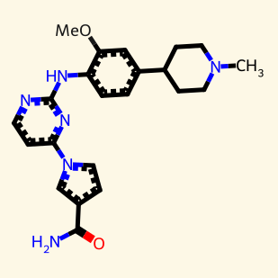 COc1cc(C2CCN(C)CC2)ccc1Nc1nccc(-n2ccc(C(N)=O)c2)n1